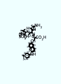 CC1(C)[C@H](NC(=O)/C(=N\OC(COc2ccc3nc(NC4CC[N+](C)(C)CC4)ccc3c2)C(=O)O)c2csc(N)n2)C(=O)N1OS(=O)(=O)O